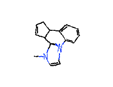 CN1C=CN2c3ccccc3C3CC=CC3C12